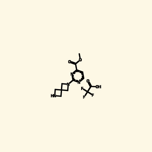 COC(=O)c1ccnc(N2CC3(CNC3)C2)n1.O=C(O)C(F)(F)F